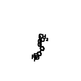 C=CC(=O)OCOc1cccc(-c2ccc(OC(F)(F)F)cc2)c1